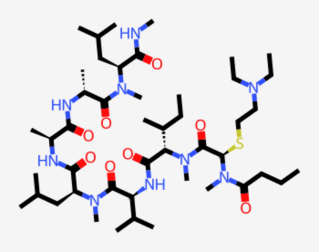 CCCC(=O)N(C)[C@H](SCCN(CC)CC)C(=O)N(C)[C@H](C(=O)N[C@H](C(=O)N(C)[C@@H](CC(C)C)C(=O)N[C@@H](C)C(=O)N[C@H](C)C(=O)N(C)[C@@H](CC(C)C)C(=O)NC)C(C)C)C(C)CC